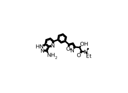 CCN(C)C(=O)C(O)c1cc(-c2cccc(-c3ccc4[nH]nc(N)c4n3)c2)on1